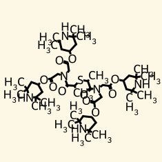 CC(SC(C)C(=O)N(CC(=O)OC1CC(C)(C)NC(C)(C)C1)CC(=O)OC1CC(C)(C)NC(C)(C)C1)C(=O)N(CC(=O)OC1CC(C)(C)NC(C)(C)C1)CC(=O)OC1CC(C)(C)NC(C)(C)C1